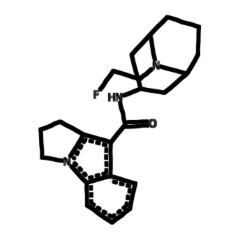 O=C(NC1CC2CCCC(C1)N2CCF)c1c2n(c3ccccc13)CCC2